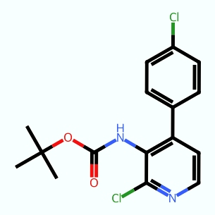 CC(C)(C)OC(=O)Nc1c(-c2ccc(Cl)cc2)ccnc1Cl